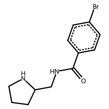 O=C(NCC1CCCN1)c1ccc(Br)cc1